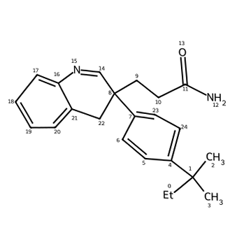 CCC(C)(C)c1ccc(C2(CCC(N)=O)C=Nc3ccccc3C2)cc1